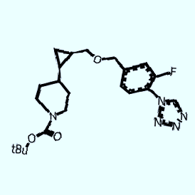 CC(C)(C)OC(=O)N1CCC([C@H]2C[C@H]2COCc2ccc(-n3cnnn3)c(F)c2)CC1